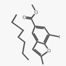 CCCCCCC.COC(=O)c1cc(I)c2oc(C)cc2c1